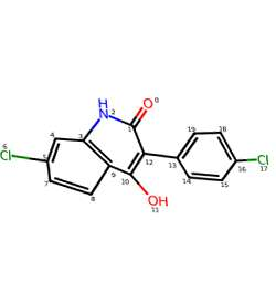 O=c1[nH]c2cc(Cl)ccc2c(O)c1-c1ccc(Cl)cc1